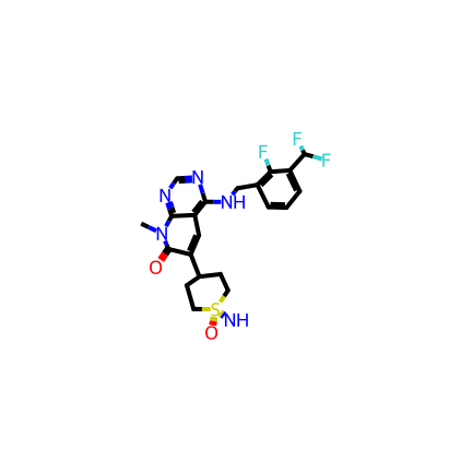 Cn1c(=O)c(C2CCS(=N)(=O)CC2)cc2c(NCc3cccc(C(F)F)c3F)ncnc21